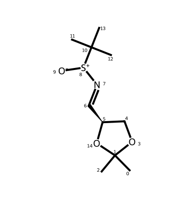 CC1(C)OC[C@H](/C=N/[S+]([O-])C(C)(C)C)O1